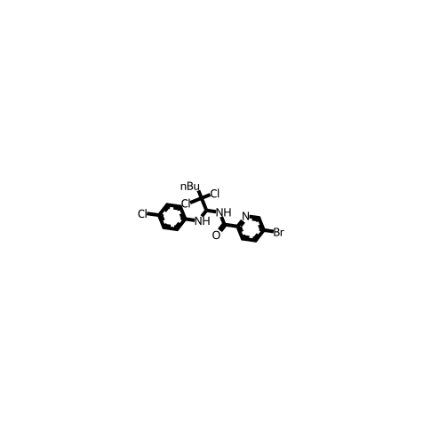 CCCCC(Cl)(Cl)C(NC(=O)c1ccc(Br)cn1)Nc1ccc(Cl)cc1